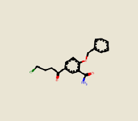 NC(=O)c1cc(C(=O)CCCCl)ccc1OCc1ccccc1